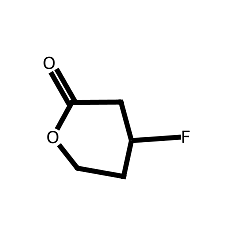 O=C1CC(F)CCO1